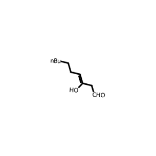 CCCCCCC=C(O)CC=O